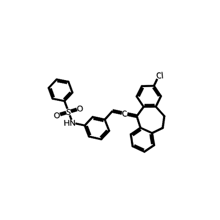 O=S(=O)(Nc1cccc(C=C=C2c3ccccc3CCc3cc(Cl)ccc32)c1)c1ccccc1